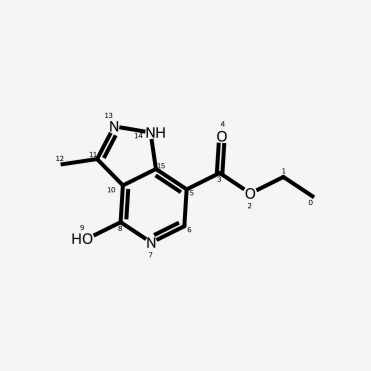 CCOC(=O)c1cnc(O)c2c(C)n[nH]c12